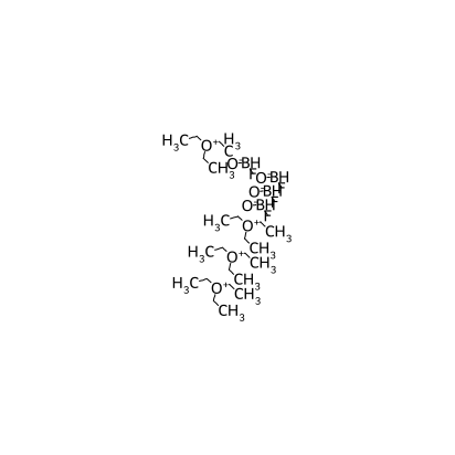 CC[O+](CC)CC.CC[O+](CC)CC.CC[O+](CC)CC.CC[O+](CC)CC.[O-]BF.[O-]BF.[O-]BF.[O-]BF